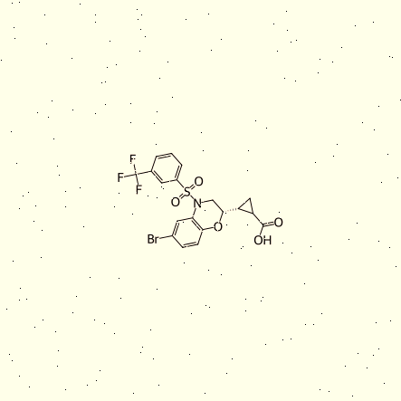 O=C(O)C1CC1[C@H]1CN(S(=O)(=O)c2cccc(C(F)(F)F)c2)c2cc(Br)ccc2O1